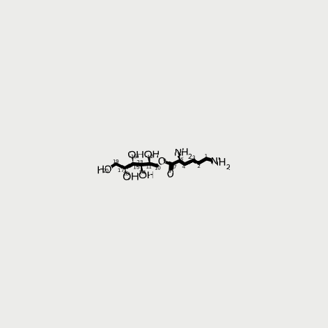 NCCCC[C@H](N)C(=O)OC[C@H](O)[C@@H](O)[C@@H](O)[C@H](O)CO